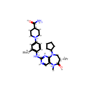 CCC[C@H]1CN(C2CCCC2)c2nc(Nc3ccc(N4CCC(C(N)=O)CC4)cc3OC)ncc2N(C)C1=O